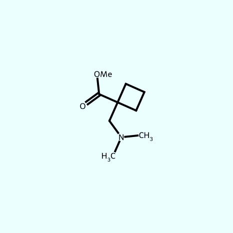 COC(=O)C1(CN(C)C)CCC1